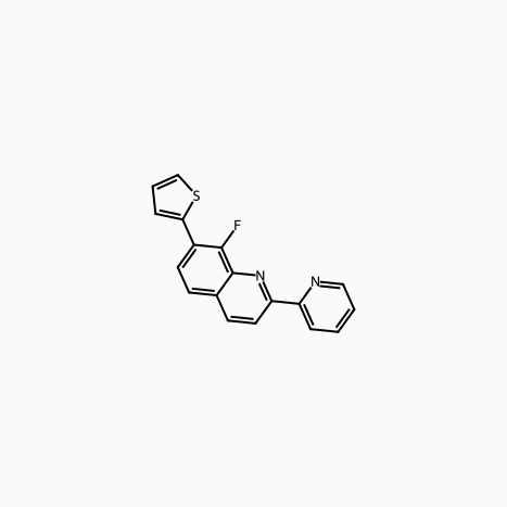 Fc1c(-c2cccs2)ccc2ccc(-c3ccccn3)nc12